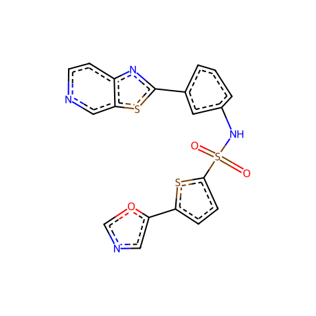 O=S(=O)(Nc1cccc(-c2nc3ccncc3s2)c1)c1ccc(-c2cnco2)s1